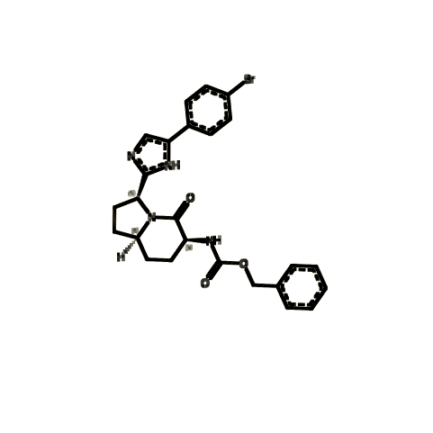 O=C(N[C@H]1CC[C@H]2CC[C@@H](c3ncc(-c4ccc(Br)cc4)[nH]3)N2C1=O)OCc1ccccc1